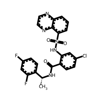 C[C@@H](NC(=O)c1ccc(Cl)cc1NS(=O)(=O)c1cccc2nccnc12)c1ccc(F)cc1F